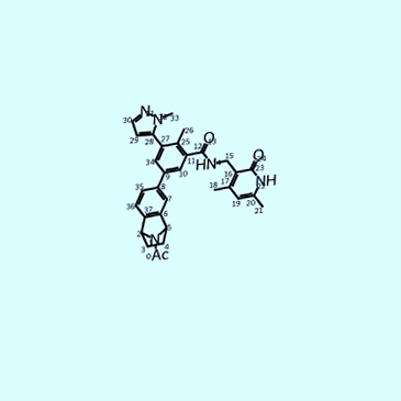 CC(=O)N1C2CCC1c1cc(-c3cc(C(=O)NCc4c(C)cc(C)[nH]c4=O)c(C)c(-c4ccnn4C)c3)ccc12